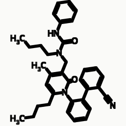 CCCCc1cc(C)c(CN(CCCC)C(=O)Nc2ccccc2)c(=O)n1-c1ccccc1-c1ccccc1C#N